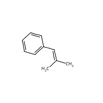 CC(C)=Cc1c[c]ccc1